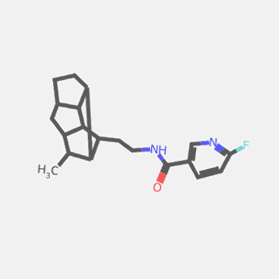 CC1C2CC3CCC4C1C(CCNC(=O)c1ccc(F)nc1)C2C34